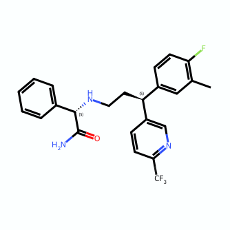 Cc1cc([C@H](CCN[C@H](C(N)=O)c2ccccc2)c2ccc(C(F)(F)F)nc2)ccc1F